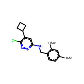 COc1ccc(CNc2cc(C3CCC3)c(Cl)nn2)c(OC)c1